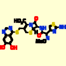 CO/N=C(\C(=O)NC1C(=O)N2C(C(=O)O)=C(CSc3ncnc4cc(O)c(O)cc34)CS[C@@H]12)c1csc(N)n1